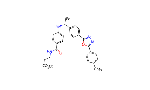 CCOC(=O)CCNC(=O)c1ccc(NC(c2ccc(-c3nnc(-c4ccc(OC)cc4)o3)cc2)C(C)C)cc1